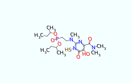 CCC(C)OP(=O)(CCN(C)c1nc(C(=O)N(C)C)c(O)c(=O)n1S)OC(C)CC